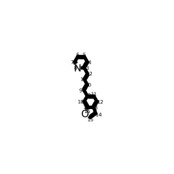 C(/C=C/c1ccccn1)=C\c1ccc2ccoc2c1